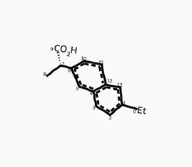 CCc1ccc2cc([C@H](C)C(=O)O)ccc2c1